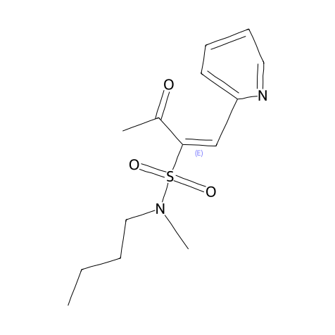 CCCCN(C)S(=O)(=O)/C(=C/c1ccccn1)C(C)=O